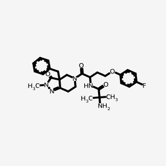 CN1N=C2CCN(C(=O)C(CCOc3ccc(F)cc3)NC(=O)C(C)(C)N)CC2(Cc2ccccc2)C1=O